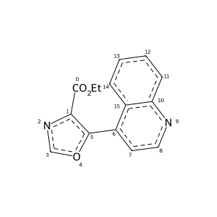 CCOC(=O)c1ncoc1-c1ccnc2ccccc12